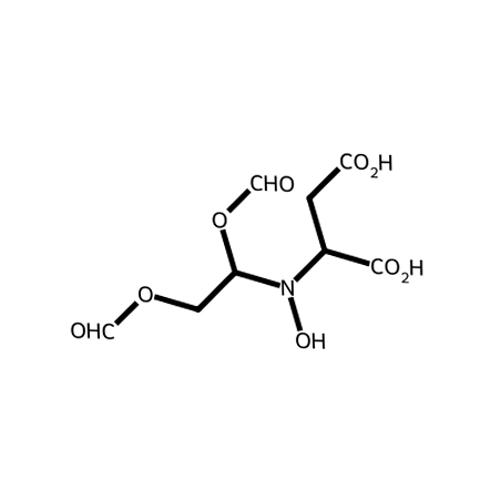 O=COCC(OC=O)N(O)C(CC(=O)O)C(=O)O